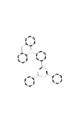 c1ccc(C2=NC(c3cccc(N4c5ccccc5Cc5ccccc54)c3)=NC(c3ccccc3)N2)cc1